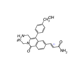 Cc1ccc(-c2c(CN)n(CC(C)C)c(=O)c3ccc(/C=C/C(N)=O)cc23)cc1.Cl